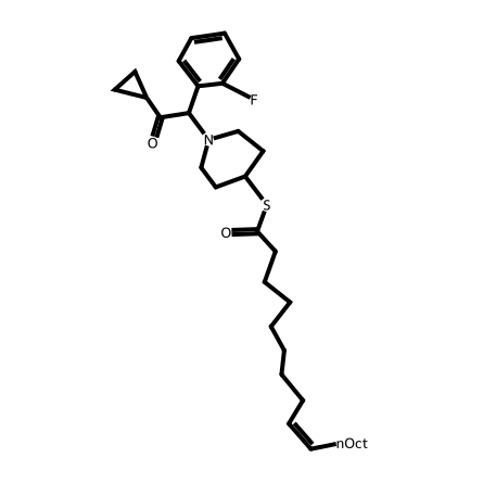 CCCCCCCC/C=C\CCCCCCCC(=O)SC1CCN(C(C(=O)C2CC2)c2ccccc2F)CC1